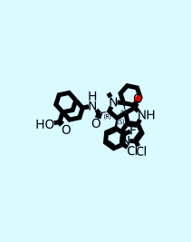 CN1[C@@H](C(=O)NC2CCC3(C(=O)O)CCCC2C3)[C@H](c2cccc(Cl)c2F)[C@]2(C(=O)Nc3cc(Cl)ncc32)C12CCCCC2